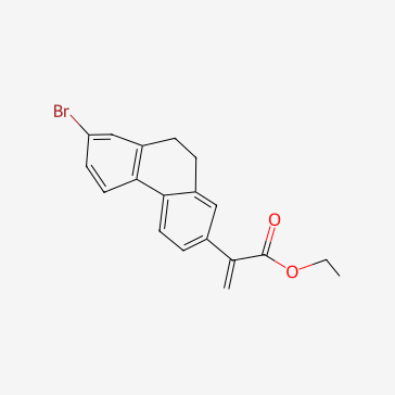 C=C(C(=O)OCC)c1ccc2c(c1)CCc1cc(Br)ccc1-2